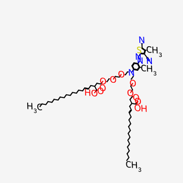 CCCCCCCCCCCCCCC/C=C/CC(CC(=O)OCCOCCOCCN(CCOCCOC(=O)CC(C/C=C/CCCCCCCCCCCCCCC)C(=O)O)c1ccc(/N=N/c2sc(C#N)c(C)c2C#N)c(C)c1)C(=O)O